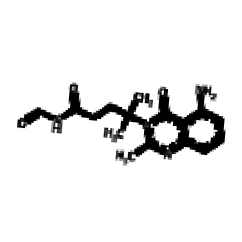 Cc1nc2cccc(N)c2c(=O)n1C(C)(C)CCC(=O)NC=O